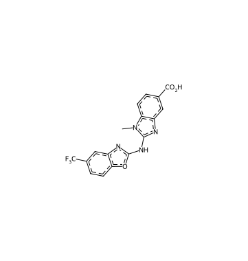 Cn1c(Nc2nc3cc(C(F)(F)F)ccc3o2)nc2cc(C(=O)O)ccc21